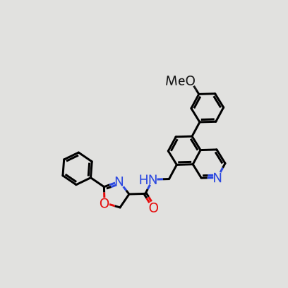 COc1cccc(-c2ccc(CNC(=O)C3COC(c4ccccc4)=N3)c3cnccc23)c1